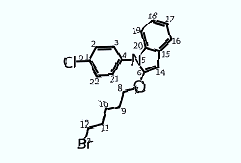 Clc1ccc(-n2c(OCCCCCBr)cc3ccccc32)cc1